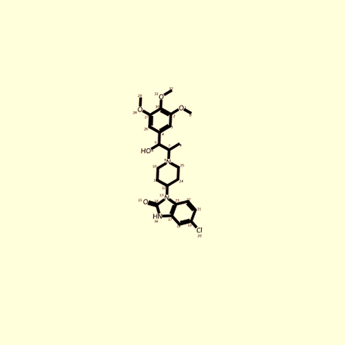 COc1cc(C(O)C(C)N2CCC(n3c(=O)[nH]c4cc(Cl)ccc43)CC2)cc(OC)c1OC